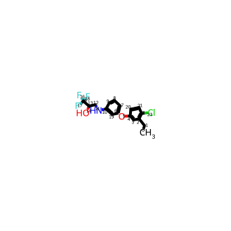 CCc1cc(Oc2cccc(NCC(O)C(F)(F)F)c2)ccc1Cl